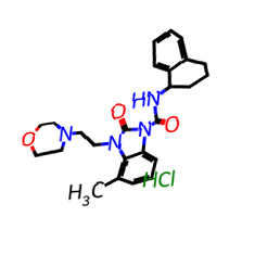 Cc1cccc2c1n(CCN1CCOCC1)c(=O)n2C(=O)NC1CCCc2ccccc21.Cl